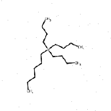 CCCCCC[Si](CCCC)(CCCC)CCCC